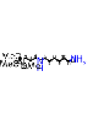 CO[Si](CCCNCCCCCCN)(OC)OC